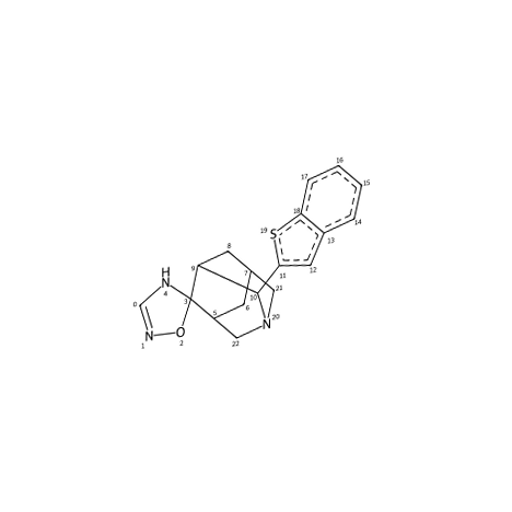 C1=NOC2(N1)C1CC3CC2C(c2cc4ccccc4s2)N(C3)C1